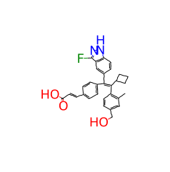 Cc1cc(CO)ccc1/C(=C(\c1ccc(/C=C/C(=O)O)cc1)c1ccc2[nH]nc(F)c2c1)C1CCC1